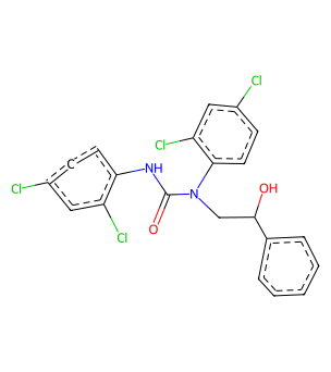 O=C(Nc1ccc(Cl)cc1Cl)N(CC(O)c1ccccc1)c1ccc(Cl)cc1Cl